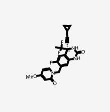 COc1ccn(Cc2cc3c(cc2F)[C@@](C#CC2CC2)(C(C)(F)F)NC(=O)N3)c(=O)c1